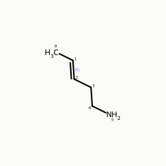 C/C=C/CCN